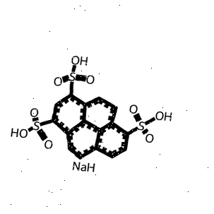 O=S(=O)(O)c1ccc2ccc3c(S(=O)(=O)O)cc(S(=O)(=O)O)c4ccc1c2c34.[NaH]